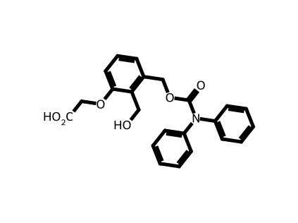 O=C(O)COc1cccc(COC(=O)N(c2ccccc2)c2ccccc2)c1CO